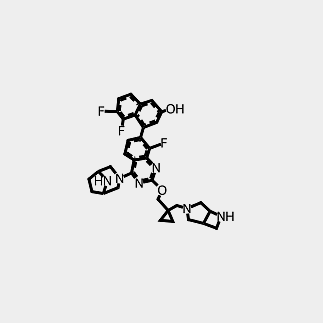 Oc1cc(-c2ccc3c(N4CC5CCC(C4)N5)nc(OCC4(CN5CC6CNC6C5)CC4)nc3c2F)c2c(F)c(F)ccc2c1